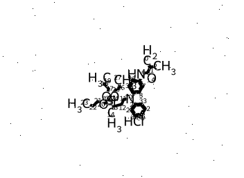 C=C(C)C(=O)Nc1ccc(N(CCC(C)[Si](OCCC)(OCCC)OCCC)c2ccccc2)cc1.Cl